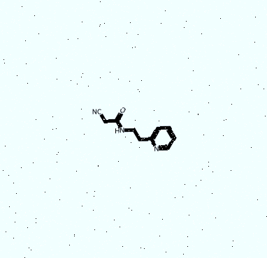 N#CCC(=O)NCCc1ccccn1